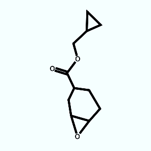 O=C(OCC1CC1)C1CCC2OC2C1